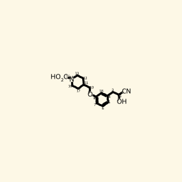 N#CC(O)Cc1cccc(OCC2CCN(C(=O)O)CC2)c1